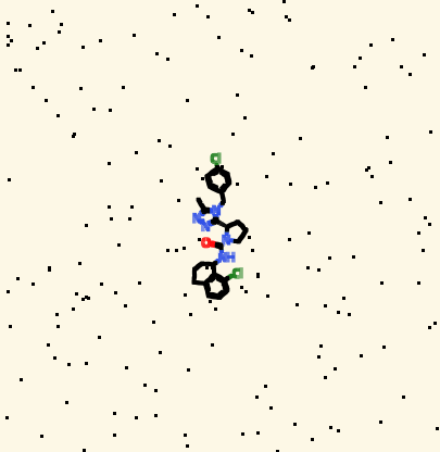 Cc1nnc([C@H]2CCCN2C(=O)NC2CCCc3cccc(Cl)c32)n1Cc1ccc(Cl)cc1